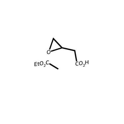 CCOC(C)=O.O=C(O)CC1CO1